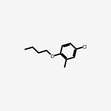 CCCCOc1ccc(Cl)cc1C